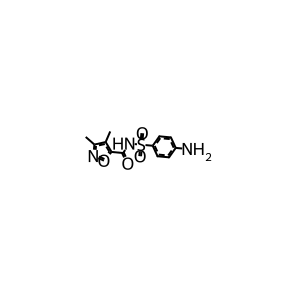 Cc1noc(C(=O)NS(=O)(=O)c2ccc(N)cc2)c1C